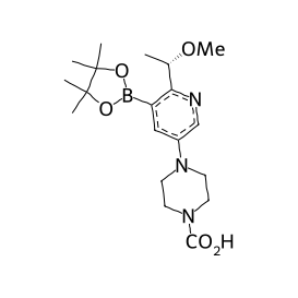 CO[C@@H](C)c1ncc(N2CCN(C(=O)O)CC2)cc1B1OC(C)(C)C(C)(C)O1